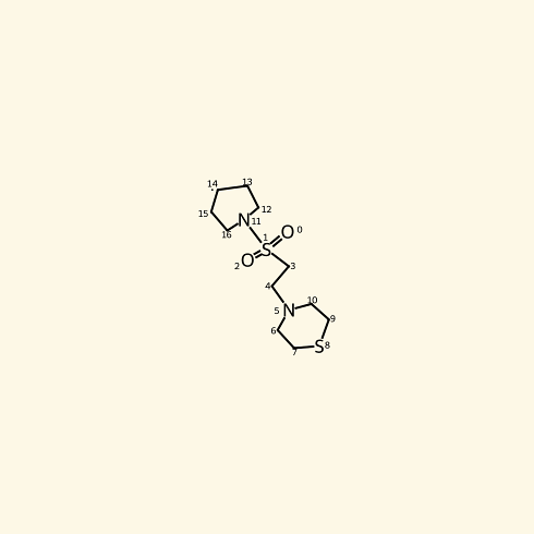 O=S(=O)(CCN1CCSCC1)N1CC[CH]CC1